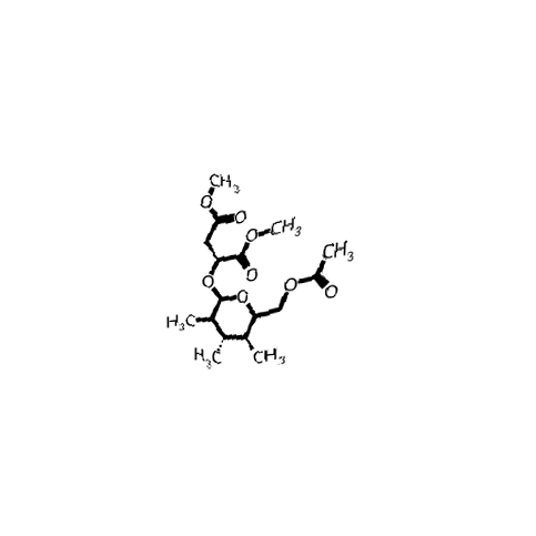 COC(=O)C[C@H](OC1OC(COC(C)=O)[C@@H](C)[C@H](C)C1C)C(=O)OC